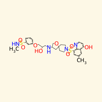 CNS(=O)(=O)c1cccc(OCC(O)CNC2COC3(CCN(S(=O)(=O)c4cc(C)cc5c(O)ccnc45)CC3)C2)c1